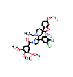 CCN1CCC(C(N)=O)(c2ccc(OC)cc2)CC1C1(c2ccc(Cl)c(Cl)c2)CCN(C(=O)c2cc(OC)c(OC)c(OC)c2)C1